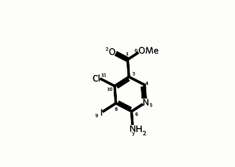 COC(=O)c1cnc(N)c(I)c1Cl